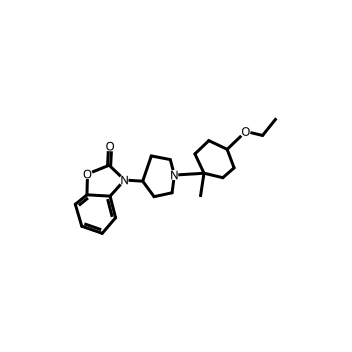 CCOC1CCC(C)(N2CCC(n3c(=O)oc4ccccc43)CC2)CC1